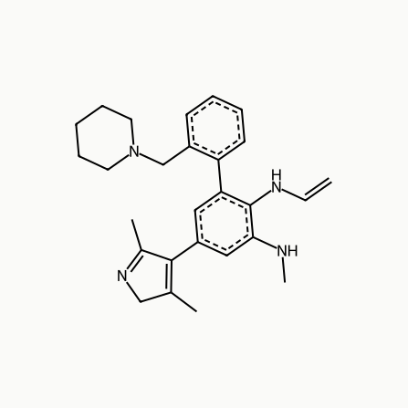 C=CNc1c(NC)cc(C2=C(C)CN=C2C)cc1-c1ccccc1CN1CCCCC1